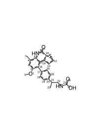 COc1cc(C)c2[nH]c(=O)c3sccc3c2c1-c1ccc(C(C)CNC(=O)O)cc1